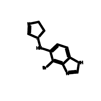 Brc1c(NN2C=NCC2)ccc2[nH]cnc12